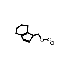 [Cl][Zr][O]CC1C=CC2=C1CCCC2